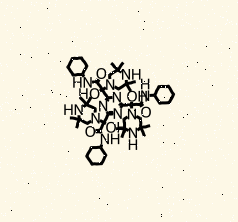 CC1(C)CN(C(O)(C(=O)NC2CCCCC2)c2nc(C(O)(C(=O)NC3CCCCC3)N3CC(C)(C)NC(C)(C)C3)nc(C(O)(C(=O)NC3CCCCC3)N3CC(C)(C)NC(C)(C)C3)n2)CC(C)(C)N1